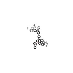 CC1(C)c2ccccc2-c2cc3c4cc(-c5ccc(N(c6ccc(-c7cccc(-c8ccccc8)n7)cc6)c6cccc7c6-c6ccccc6C7(C)C)cc5)ccc4n(-c4ccccc4)c3cc21